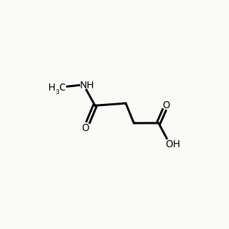 CNC(=O)CCC(=O)O